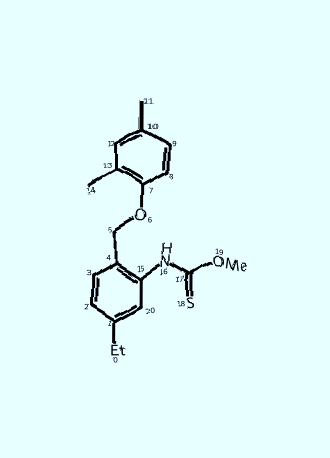 CCc1ccc(COc2ccc(C)cc2C)c(NC(=S)OC)c1